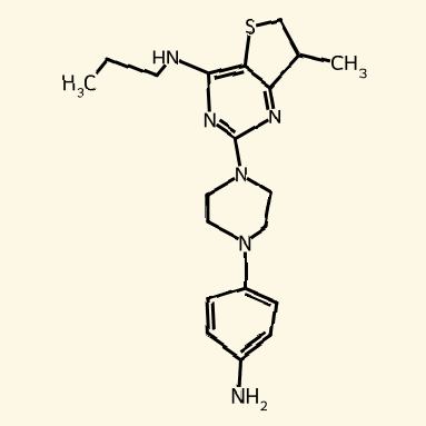 CCCNc1nc(N2CCN(c3ccc(N)cc3)CC2)nc2c1SCC2C